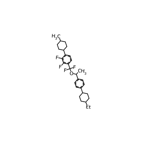 CCC1CCC(c2ccc(C(C)OC(F)(F)c3ccc(C4CCC(C)CC4)c(F)c3F)cc2)CC1